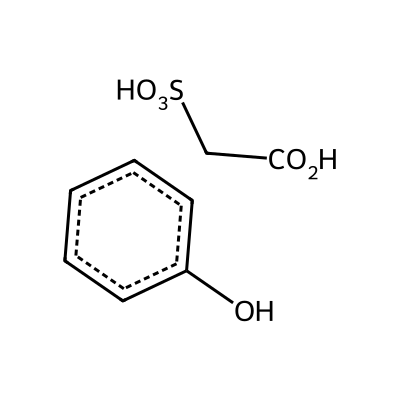 O=C(O)CS(=O)(=O)O.Oc1ccccc1